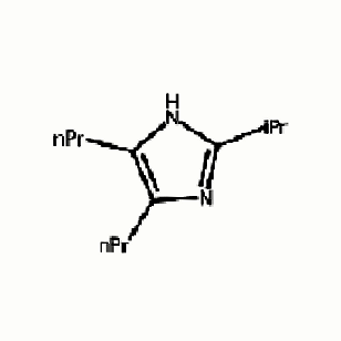 CCCc1nc(C(C)C)[nH]c1CCC